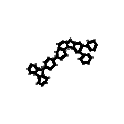 c1ccc(-c2cc3nc4ccc5cc(-c6ccc(-n7c8ccccc8c8ccccc87)cc6)ccc5n4c3cc2-c2ccccc2)cc1